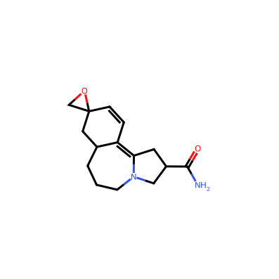 NC(=O)C1CC2=C3C=CC4(CO4)CC3CCCN2C1